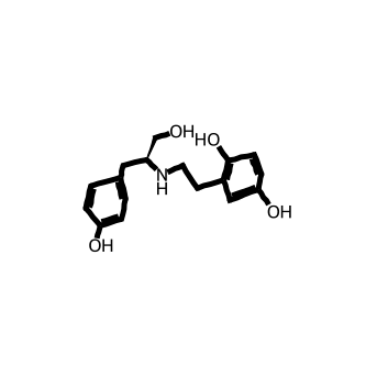 OC[C@H](Cc1ccc(O)cc1)NCCc1cc(O)ccc1O